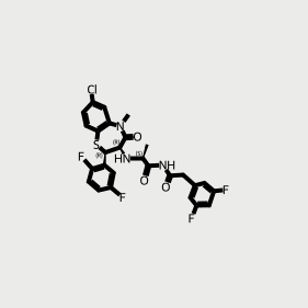 C[C@H](N[C@@H]1C(=O)N(C)c2cc(Cl)ccc2S[C@@H]1c1cc(F)ccc1F)C(=O)NC(=O)Cc1cc(F)cc(F)c1